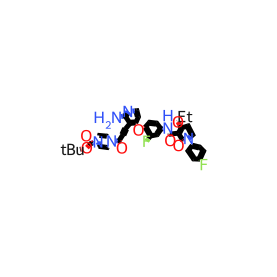 CCOc1ccn(-c2ccc(F)cc2)c(=O)c1C(=O)Nc1ccc(Oc2ccnc(N)c2C#CC(=O)N2CCN(C(=O)OC(C)(C)C)CC2)c(F)c1